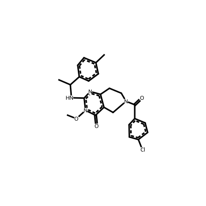 COn1c(NC(C)c2ccc(C)cc2)nc2c(c1=O)CN(C(=O)c1ccc(Cl)cc1)CC2